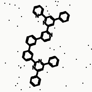 c1ccc(-c2cc(-c3ccccn3)nc(-c3cc(-c4cccc(-c5cccc(-c6nc(-c7ccccc7)cc(-c7ccccc7)n6)c5)c4)ccn3)c2)cc1